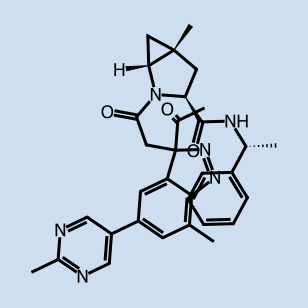 CC(=O)C1(CC(=O)N2[C@H](C(=O)N[C@H](C)c3ccccc3)C[C@@]3(C)C[C@@H]23)N=Nc2c(C)cc(-c3cnc(C)nc3)cc21